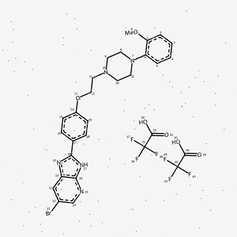 COc1ccccc1N1CCN(CCOc2ccc(-c3nc4cc(Br)cnc4[nH]3)cc2)CC1.O=C(O)C(F)(F)F.O=C(O)C(F)(F)F